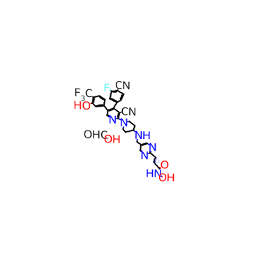 N#Cc1ccc(-c2c(-c3ccc(C(F)(F)F)c(O)c3)cnc(N3CCC(NCc4cnc(/C=C/C(=O)NO)nc4)CC3)c2C#N)cc1F.O=CO